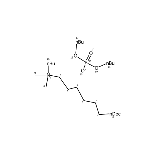 CCCCCCCCCCCCCCCC[N+](C)(C)CCCC.CCCCOP(=O)([O-])OCCCC